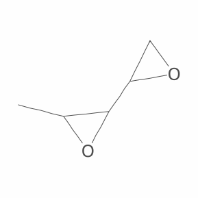 CC1OC1C1CO1